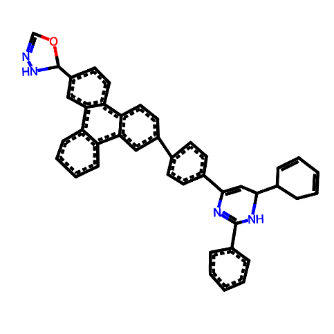 C1=CCC(C2C=C(c3ccc(-c4ccc5c6ccc(C7NN=CO7)cc6c6ccccc6c5c4)cc3)N=C(c3ccccc3)N2)C=C1